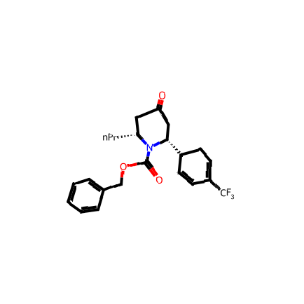 CCC[C@@H]1CC(=O)C[C@H](C2C=CC(C(F)(F)F)=CC2)N1C(=O)OCc1ccccc1